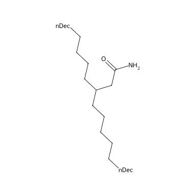 CCCCCCCCCCCCCCCC(CCCCCCCCCCCCCC)CC(N)=O